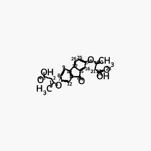 CC(CC(=O)O)Oc1ccc2c(c1)C(=O)c1cc(OC(C)CC(=O)O)ccc1-2